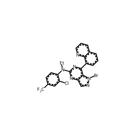 CCN(c1nc(-c2cccc3cccnc23)c2c(cnn2Br)n1)c1ccc(C(F)(F)F)cc1Cl